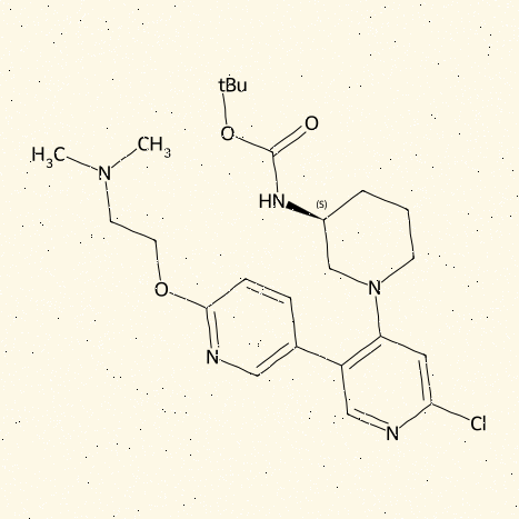 CN(C)CCOc1ccc(-c2cnc(Cl)cc2N2CCC[C@H](NC(=O)OC(C)(C)C)C2)cn1